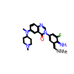 CN/C=C1/C=C(n2cnc3ccc(N(C)C4CCN(C)CC4)cc3c2=O)C=C(F)C1=N